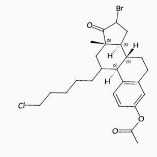 CC(=O)Oc1ccc2c(c1)CC[C@@H]1[C@@H]2C(CCCCCCl)C[C@]2(C)C(=O)C(Br)C[C@@H]12